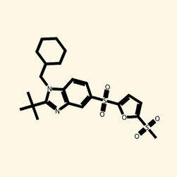 CC(C)(C)c1nc2cc(S(=O)(=O)c3ccc(S(C)(=O)=O)o3)ccc2n1CC1CCCCC1